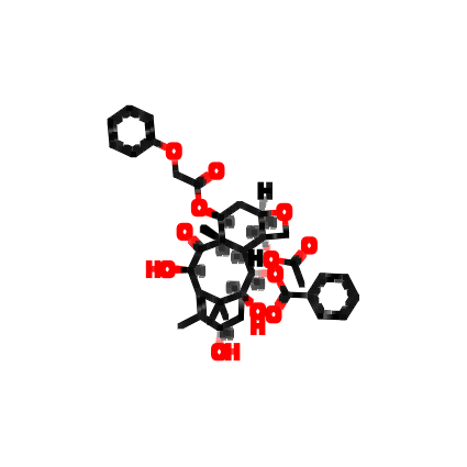 CC(=O)O[C@@]12CO[C@@H]1C[C@H](OC(=O)COc1ccccc1)[C@@]1(C)C(=O)[C@H](O)C3=C(C)[C@@H](O)C[C@@](O)([C@@H](OC(=O)c4ccccc4)[C@H]21)C3(C)C